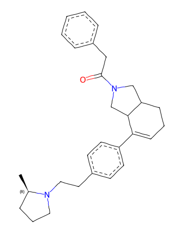 C[C@@H]1CCCN1CCc1ccc(C2=CCCC3CN(C(=O)Cc4ccccc4)CC23)cc1